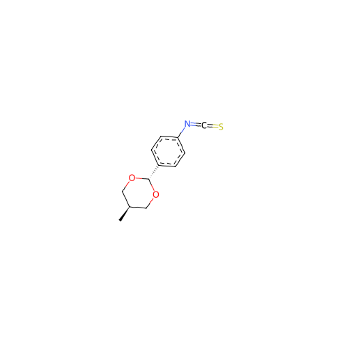 C[C@H]1CO[C@H](c2ccc(N=C=S)cc2)OC1